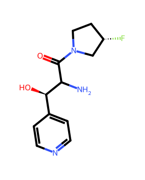 NC(C(=O)N1CC[C@H](F)C1)[C@H](O)c1ccncc1